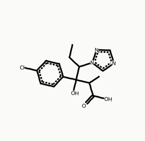 CCC(n1cncn1)C(O)(c1ccc(Cl)cc1)C(C)C(=O)O